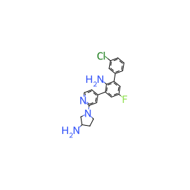 Nc1c(-c2cccc(Cl)c2)cc(F)cc1-c1ccnc(N2CCC(N)C2)c1